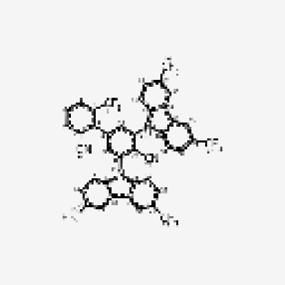 N#Cc1cccc(C(F)(F)F)c1-c1cc(-n2c3ccc(C(F)(F)F)cc3c3cc(C(F)(F)F)ccc32)c(C#N)c(-n2c3ccc(C(F)(F)F)cc3c3cc(C(F)(F)F)ccc32)c1